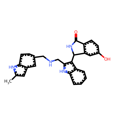 Cc1cc2cc(CNCc3[nH]c4ccccc4c3C3NC(=O)c4ccc(O)cc43)ccc2[nH]1